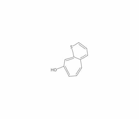 OC1=CC=CC2=CC=CSC2=C1